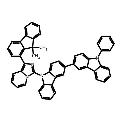 CC1(C)c2ccccc2-c2cccc(-c3nc(-n4c5ccccc5c5cc(-c6ccc7c(c6)c6ccccc6n7-c6ccccc6)ccc54)n4ccccc34)c21